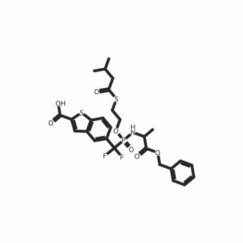 CC(C)CC(=O)SCCOP(=O)(NC(C)C(=O)OCc1ccccc1)C(F)(F)c1ccc2sc(C(=O)O)cc2c1